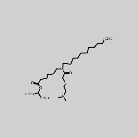 CCCCCCCCCCCCCCCCCCCCN(CCCCCC(=O)OC(CCCCCC)CCCCCC)C(=O)CSCCN(C)C